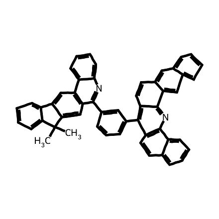 CC1(C)c2ccccc2-c2cc3c(cc21)c(-c1cccc(-c2c4ccc5ccccc5c4nc4c2ccc2cc5ccccc5cc24)c1)nc1ccccc13